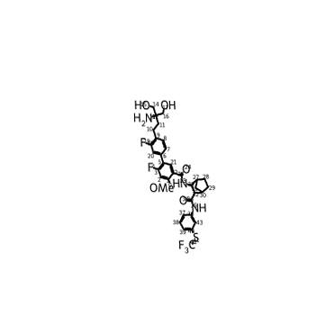 COc1cc(F)c(-c2ccc(CCC(N)(CO)CO)c(F)c2)cc1C(=O)NC1C2CCC(C2)C1C(=O)Nc1cccc(SC(F)(F)F)c1